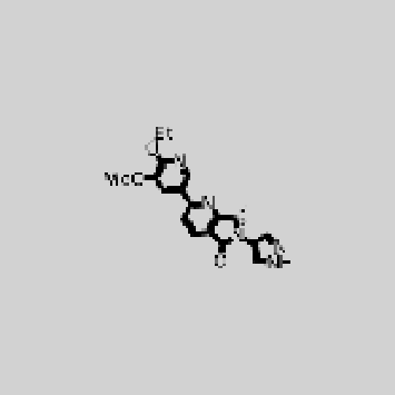 CCOc1ncc(-c2ccc3c(n2)[C@H](C)N(c2cn[nH]c2)C3=O)cc1OC